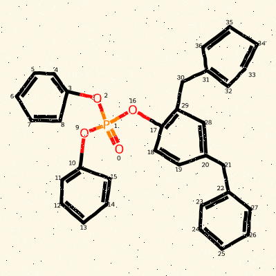 O=P(Oc1ccccc1)(Oc1ccccc1)Oc1ccc(Cc2ccccc2)cc1Cc1ccccc1